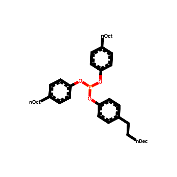 CCCCCCCCCCCCc1ccc(OP(Oc2ccc(CCCCCCCC)cc2)Oc2ccc(CCCCCCCC)cc2)cc1